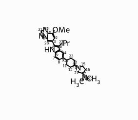 COc1cc(-c2[nH]c3ccc(C4CCC(N5CCC(N(C)C)C5)CC4)cc3c2C(C)C)cn2ncnc12